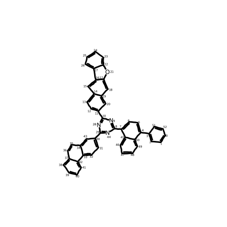 c1ccc(-c2ccc(-c3nc(-c4ccc5cc6c(cc5c4)oc4ccccc46)nc(-c4ccc5c(ccc6ccccc65)c4)n3)c3ccccc23)cc1